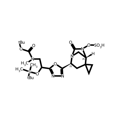 CN(CC(O[Si](C)(C)C(C)(C)C)c1nnc([C@@H]2CC3(CC3)[C@@H]3CN2C(=O)N3OS(=O)(=O)O)o1)C(=O)OC(C)(C)C